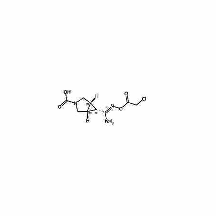 N/C(=N\OC(=O)CCl)[C@@H]1[C@@H]2CN(C(=O)O)C[C@@H]21